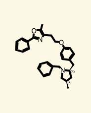 Cc1oc(-c2ccccc2)nc1CCOc1ccc(C[C@H]2C[C@@H](C)CN2Cc2ccccc2)cc1